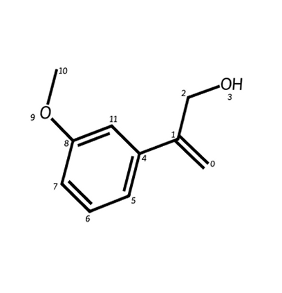 C=C(CO)c1cccc(OC)c1